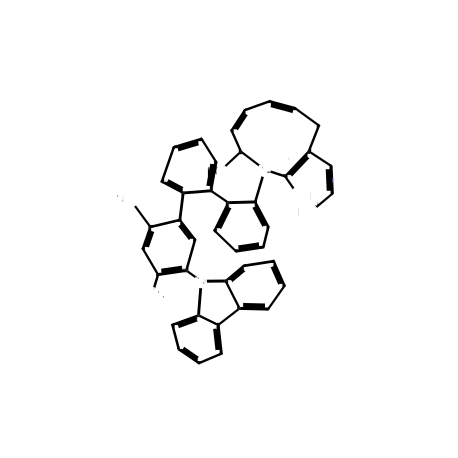 C/C=C\C1=C(/C)N(c2ccccc2-c2ccccc2-c2cc(-n3c4ccccc4c4ccccc43)c(C#N)cc2C#N)C(C)/C=C\C=C/C1